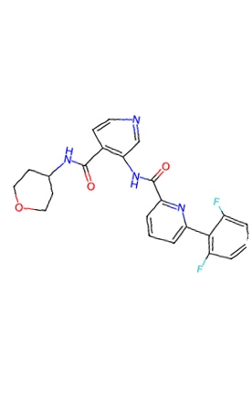 O=C(Nc1cnccc1C(=O)NC1CCOCC1)c1cccc(-c2c(F)cccc2F)n1